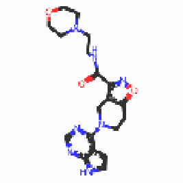 O=C(NCCN1CCOCC1)c1noc2c1CN(c1ncnc3[nH]ccc13)CC2